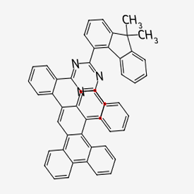 CC1(C)c2ccccc2-c2c(-c3nc(-c4ccccc4)nc(-c4ccccc4-c4cc5c6ccccc6c6ccccc6c5c5ccccc45)n3)cccc21